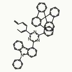 C=C/C=C\C(=C/C)c1nc(-c2ccccc2-c2cccc3c2C2(c4ccccc4-c4ccccc42)c2ccccc2-3)nc(-c2cccc3c2c2ccccc2n3-c2ccccc2)n1